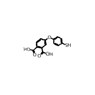 O=C(O)c1ccc(Oc2ccc(S)cc2)cc1C(=O)O